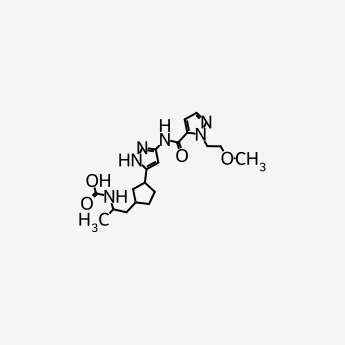 COCCn1nccc1C(=O)Nc1cc(C2CCC(CC(C)NC(=O)O)C2)[nH]n1